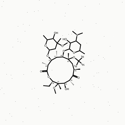 [2H]C([2H])([2H])O[C@]1(C)C[C@@H](C)C(=O)[C@H](C)[C@@H](O)[C@](C)(OC)[C@@H](CC)OC(=O)[C@H](C)[C@@H](OC2CC(C)(OC)C(O)C(C)O2)[C@H](C)[C@H]1OC1OC(C)CC(N(C)C)C1O